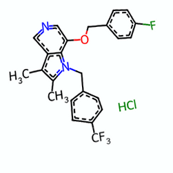 Cc1c(C)n(Cc2ccc(C(F)(F)F)cc2)c2c(OCc3ccc(F)cc3)cncc12.Cl